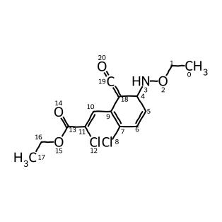 CCONC1C=CC(Cl)=C(C=C(Cl)C(=O)OCC)C1=C=O